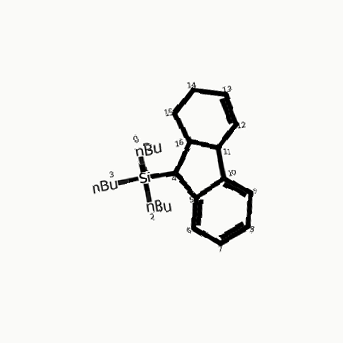 CCCC[Si](CCCC)(CCCC)C1c2ccccc2C2C=CCCC21